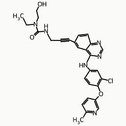 CCN(CCO)C(=O)NCC#Cc1ccc2ncnc(Nc3ccc(Oc4ccc(C)nc4)c(Cl)c3)c2c1